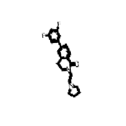 O=C1c2ccc(-c3cc(F)cc(F)c3)cc2CCN1CCN1CCCC1